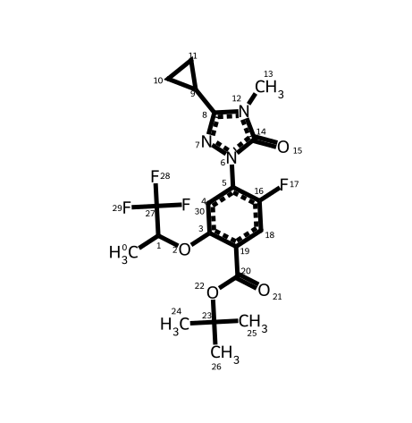 CC(Oc1cc(-n2nc(C3CC3)n(C)c2=O)c(F)cc1C(=O)OC(C)(C)C)C(F)(F)F